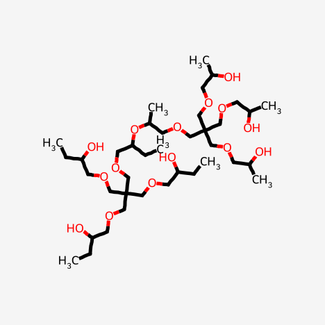 CCC(O)COCC(COCC(O)CC)(COCC(O)CC)COCC(CC)OC(C)COCC(COCC(C)O)(COCC(C)O)COCC(C)O